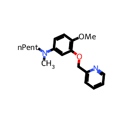 CCCCCN(C)c1ccc(OC)c(OCc2ccccn2)c1